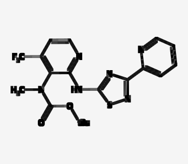 CN(C(=O)OC(C)(C)C)c1c(C(F)(F)F)ccnc1Nc1nc(-c2ccccn2)ns1